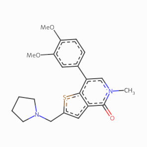 COc1ccc(-c2cn(C)c(=O)c3cc(CN4CCCC4)sc23)cc1OC